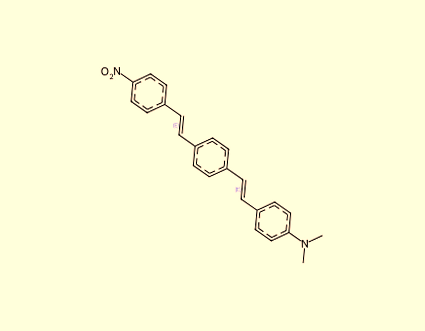 CN(C)c1ccc(/C=C/c2ccc(/C=C/c3ccc([N+](=O)[O-])cc3)cc2)cc1